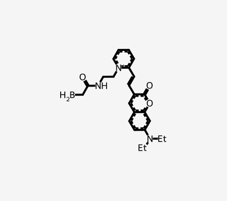 BCC(=O)NCC[n+]1ccccc1/C=C/c1cc2ccc(N(CC)CC)cc2oc1=O